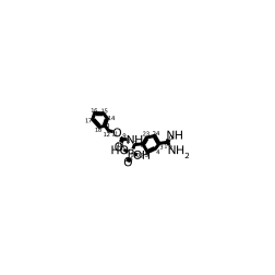 N=C(N)c1ccc(C(NC(=O)OCc2ccccc2)P(=O)(O)O)cc1